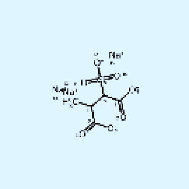 CC(C(=O)[O-])C(C(=O)[O-])S(=O)(=O)[O-].[Na+].[Na+].[Na+]